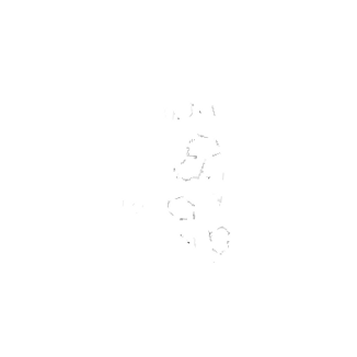 N=C(N)c1ccc2[nH]c(-c3cc(CC(=O)O)c(CN)c(-c4ccccc4)c3O)nc2c1